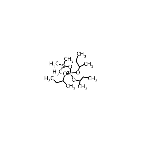 CCC(C)[O][Zr]([O]C(C)CC)([O]C(C)CC)[O][Si](C)(C)C